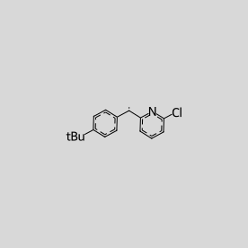 CC(C)(C)c1ccc([CH]c2cccc(Cl)n2)cc1